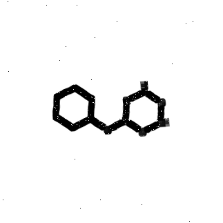 B1OBOB(OC2CCCCC2)O1